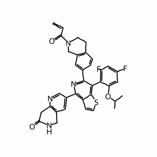 C=CC(=O)N1CCc2ccc(-c3nc(-c4cnc5c(c4)CNC(=O)C5)c4ccsc4c3-c3c(F)cc(F)cc3OC(C)C)cc2C1